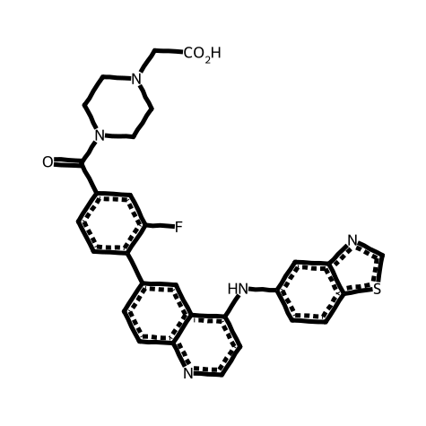 O=C(O)CN1CCN(C(=O)c2ccc(-c3ccc4nccc(Nc5ccc6scnc6c5)c4c3)c(F)c2)CC1